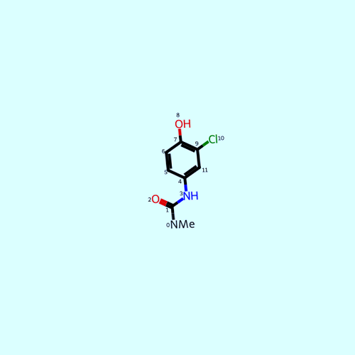 CNC(=O)Nc1ccc(O)c(Cl)c1